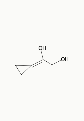 OCC(O)=C1CC1